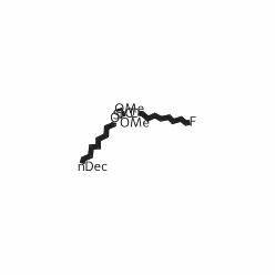 CCCCCCCCCCCCCCCCCCO[Si](CCCCCCCCCCF)(OC)OC